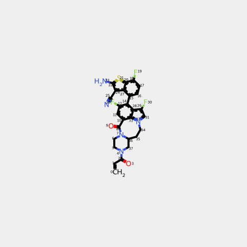 C=CC(=O)N1CCN2C(=O)c3cc(F)c(-c4ccc(F)c5sc(N)c(C#N)c45)c4c(F)cn(c34)CCC2C1